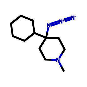 CN1CCC(N=[N+]=[N-])(C2CCCCC2)CC1